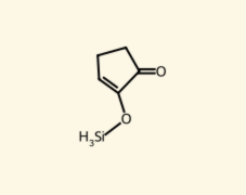 O=C1CCC=C1O[SiH3]